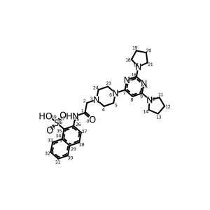 O=C(CN1CCN(c2cc(N3CCCC3)nc(N3CCCC3)n2)CC1)Nc1ccc2ccccc2c1S(=O)(=O)O